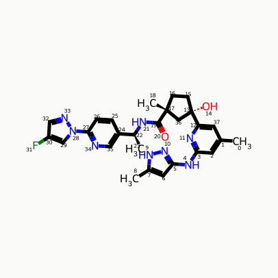 Cc1cc(Nc2cc(C)[nH]n2)nc([C@]2(O)CC[C@@](C)(C(=O)N[C@@H](C)c3ccc(-n4cc(F)cn4)nc3)C2)c1